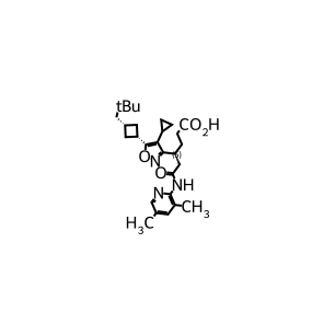 Cc1cnc(NC(=O)C[C@H](CCC(=O)O)c2noc([C@H]3C[C@@H](CC(C)(C)C)C3)c2C2CC2)c(C)c1